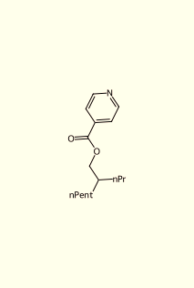 CCCCCC(CCC)COC(=O)c1ccncc1